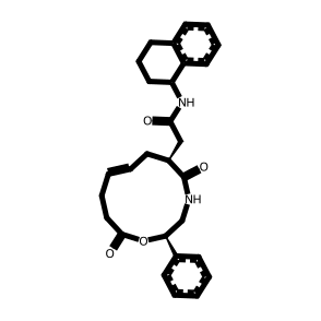 O=C(C[C@@H]1C/C=C/CCC(=O)O[C@H](c2ccccc2)CNC1=O)NC1CCCc2ccccc21